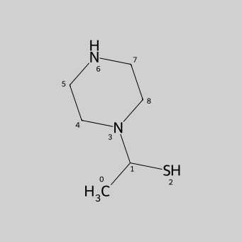 CC(S)N1CCNCC1